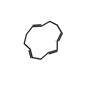 [C]1=C/CC/C=C/CC/C=C/C/C=C/1